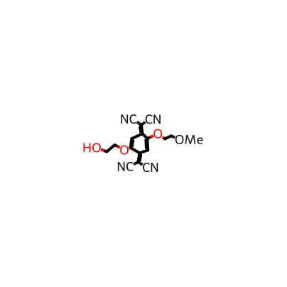 COCCOc1cc(=C(C#N)C#N)c(OCCO)cc1=C(C#N)C#N